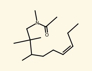 CC/C=C\CCC(C)C(C)(C)CN(C)C(C)=O